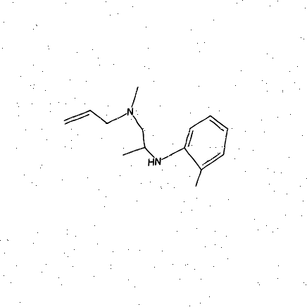 C=CCN(C)CC(C)Nc1ccccc1C